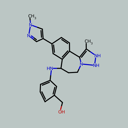 CC1=C2c3ccc(-c4cnn(C)c4)cc3C(Nc3cccc(CO)c3)CCN2NN1